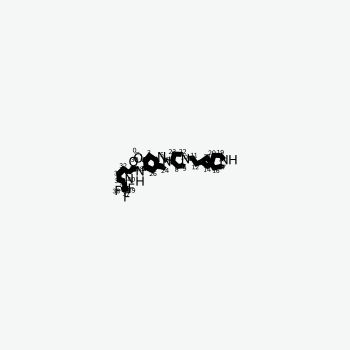 COc1cc2nn(C3CCN(CCC4CC5(CCNCC5)C4)CC3)cc2cc1NC(=O)c1cccc(C(F)(F)F)n1